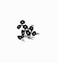 CC(C)(C)c1ccc(N2c3ccc(C(C)(C)C)cc3B3c4ccc(N(c5ccccc5)c5ccccc5)cc4N(c4ccc5c(c4)C(C)(C)c4ccccc4-5)c4cc([Si](C)(C)C)cc2c43)cc1